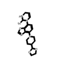 [2H]C1NCC=CN1c1ccc(N2CCC(C3OCCO3)CC2)c2ncoc12